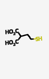 O=C(O)C(CCS)C(=O)O